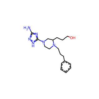 Nc1n[nH]c(N2CCN(CCCc3ccccc3)C(CCCO)C2)n1